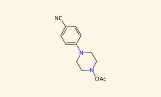 CC(=O)ON1CCN(c2ccc(C#N)cc2)CC1